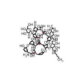 CCCCCC(=O)NC1[C@H](Oc2c3cc4cc2Oc2ccc(cc2Cl)[C@@H](O[C@@H]2OC(CO)[C@@H](O)C(O)[C@@H]2NC(C)=O)[C@@H]2NC(=O)[C@H](NC(=O)[C@@H]4NC(=O)[C@H]4NC(=O)[C@@H](Cc5ccc(c(Cl)c5)O3)NC(=O)[C@H](N)c3ccc(O)c(c3)Oc3cc(O)cc4c3)c3ccc(I)c(c3)-c3c(O[C@H]4OC(CO)[C@@H](O)[C@@H](O)C4O)cc(O)cc3[C@@H](C(=O)O)NC2=O)OC(CO)[C@@H](O)[C@@H]1O